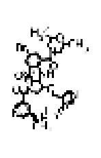 CNc1cncc(C(=O)N2C[C@H](Nc3c(C(=O)N4C[C@@H](C)O[C@@H](C)C4)cc(Br)cc3[N+](=O)[O-])[C@@H](OCc3cncn3C)C2)c1